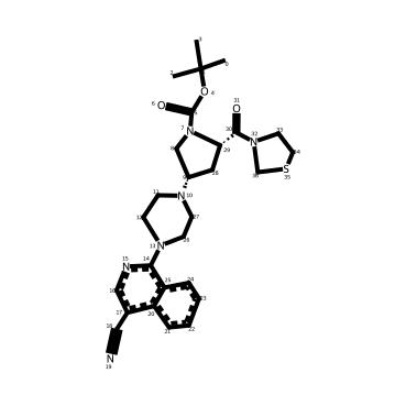 CC(C)(C)OC(=O)N1C[C@@H](N2CCN(c3ncc(C#N)c4ccccc34)CC2)C[C@H]1C(=O)N1CCSC1